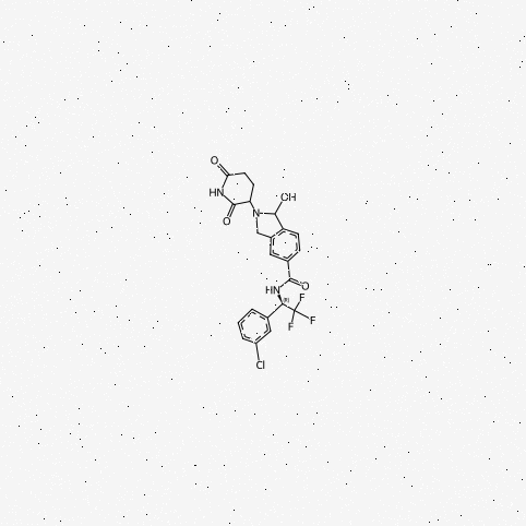 O=C1CCC(N2Cc3cc(C(=O)N[C@H](c4cccc(Cl)c4)C(F)(F)F)ccc3C2O)C(=O)N1